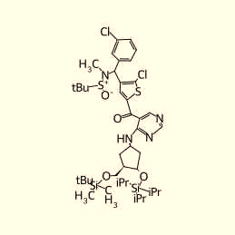 CC(C)[Si](O[C@H]1C[C@H](Nc2ncncc2C(=O)c2cc(C(c3cccc(Cl)c3)N(C)[S+]([O-])C(C)(C)C)c(Cl)s2)C[C@@H]1CO[Si](C)(C)C(C)(C)C)(C(C)C)C(C)C